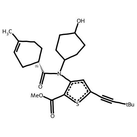 COC(=O)c1sc(C#CC(C)(C)C)cc1N(C(=O)[C@@H]1CC=C(C)CC1)C1CCC(O)CC1